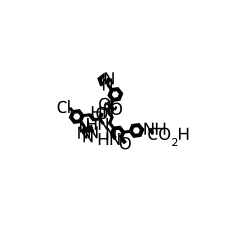 O=C(O)Nc1ccc(-c2cc(C(CNS(=O)(=O)c3cccc(-n4cccn4)c3)NC(=O)C=Cc3cc(Cl)ccc3-n3cnnn3)n[nH]c2=O)cc1